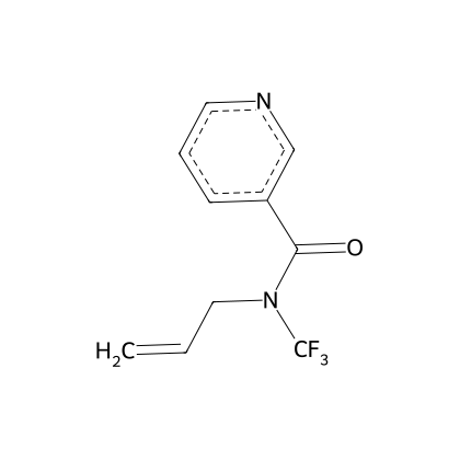 C=CCN(C(=O)c1cccnc1)C(F)(F)F